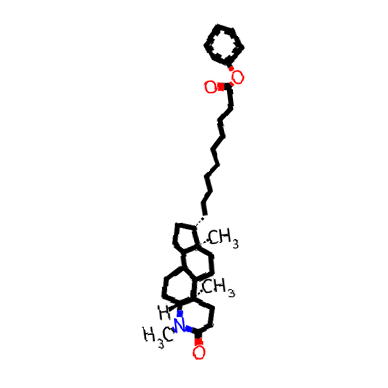 CN1C(=O)CC[C@]2(C)C3CC[C@@]4(C)C(CC[C@@H]4CCCCCCCCCC(=O)Oc4ccccc4)C3CC[C@@H]12